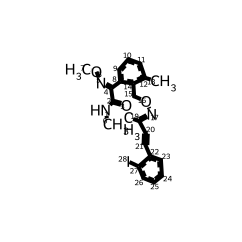 CNC(=O)/C(=N/OC)c1cccc(C)c1CO/N=C(\C)C#Cc1ccccc1I